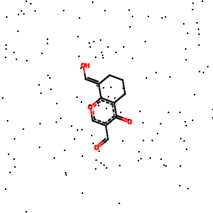 O=Cc1coc2c(c1=O)CCCC2=CO